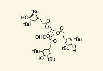 CC(C)(C)c1cc(CCC(=O)OCC(COC=O)(COC(=O)CCc2cc(C(C)(C)C)c(O)c(C(C)(C)C)c2)COC(=O)CCc2cc(C(C)(C)C)c(O)c(C(C)(C)C)c2)cc(C(C)(C)C)c1O